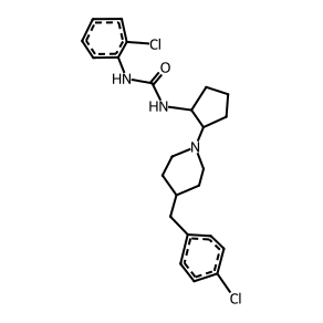 O=C(Nc1ccccc1Cl)NC1CCCC1N1CCC(Cc2ccc(Cl)cc2)CC1